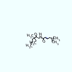 CCCCC(C)(CC)C(=O)CNC(=O)/C=C/CN(C)C